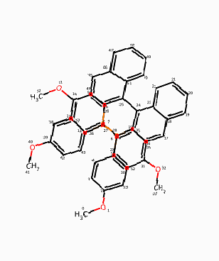 COc1ccc(P(c2ccc(OC)cc2)c2ccc3ccccc3c2-c2c(P(c3ccc(OC)cc3)c3ccc(OC)cc3)ccc3ccccc23)cc1